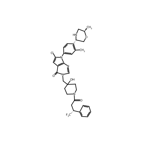 Cc1cc(-n2c(Cl)cc3c(=O)n(CC4(O)CCN(C(=O)C[C@H](c5ccccc5)C(F)(F)F)CC4)cnc32)ccc1[C@H]1CO[C@H](C)CN1